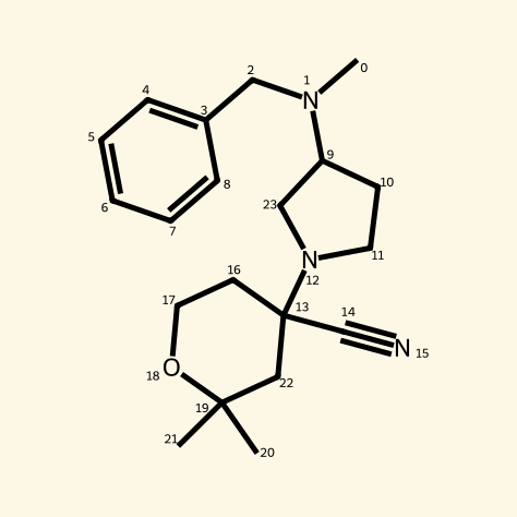 CN(Cc1ccccc1)C1CCN(C2(C#N)CCOC(C)(C)C2)C1